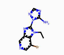 CCn1c(-n2ncnc2N)nc2cncc(Br)c21